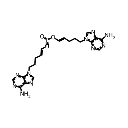 Nc1ncnc2c1ncn2CCCC=CO[PH](=O)OC=CCCCn1cnc2c(N)ncnc21